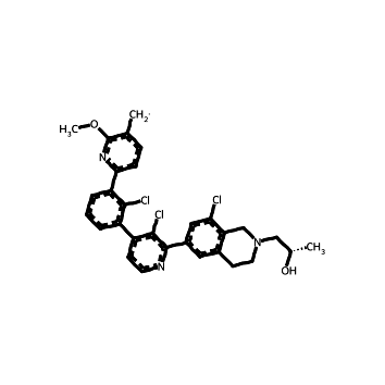 [CH2]c1ccc(-c2cccc(-c3ccnc(-c4cc(Cl)c5c(c4)CCN(C[C@H](C)O)C5)c3Cl)c2Cl)nc1OC